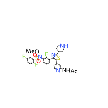 COCN(c1cccc(-c2nc(C3CCNCC3)sc2-c2ccnc(NC(C)=O)c2)c1F)S(=O)(=O)c1cc(F)ccc1F